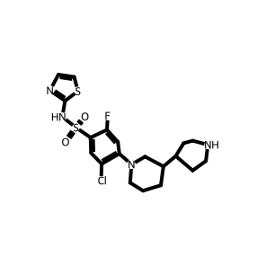 O=S(=O)(Nc1nccs1)c1cc(Cl)c(N2CCCC(C3CCNCC3)C2)cc1F